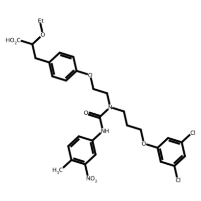 CCOC(Cc1ccc(OCCN(CCCOc2cc(Cl)cc(Cl)c2)C(=O)Nc2ccc(C)c([N+](=O)[O-])c2)cc1)C(=O)O